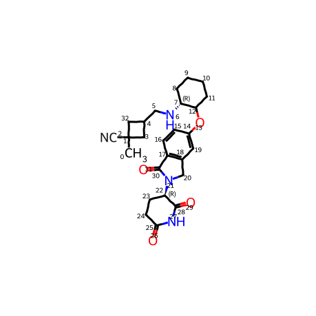 CC1(C#N)CC(CN[C@@H]2CCCCC2Oc2ccc3c(c2)CN([C@@H]2CCC(=O)NC2=O)C3=O)C1